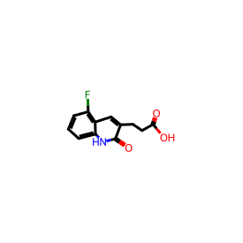 O=C(O)CCc1cc2c(F)cccc2[nH]c1=O